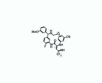 COc1cccc(C(NCC2CC2)c2ccc(F)c(NC(=O)/C(=C/C(=N)C(F)(F)F)Nc3cccc(C#N)c3)c2)c1